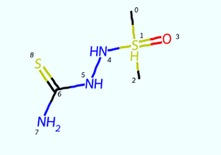 C[SH](C)(=O)NNC(N)=S